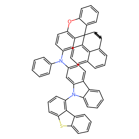 c1ccc(N(c2ccc3c(c2)C2(c4ccccc4O3)c3ccccc3-c3cccc4cccc2c34)c2ccc3c4ccccc4n(-c4cccc5sc6ccccc6c45)c3c2)cc1